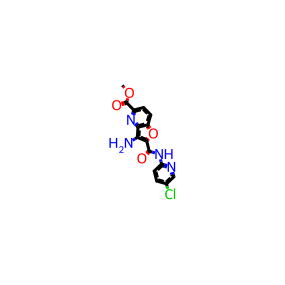 COC(=O)c1ccc2oc(C(=O)Nc3ccc(Cl)cn3)c(N)c2n1